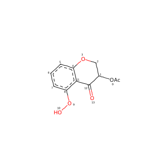 CC(=O)OC1COc2cccc(OO)c2C1=O